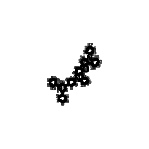 c1ccc(-c2cc(-c3ccc(-n4c5ccccc5c5c6oc7c(ccc8c7c7ccccc7n8-c7ccccc7)c6ccc54)cc3)cc(-c3ccccc3)n2)cc1